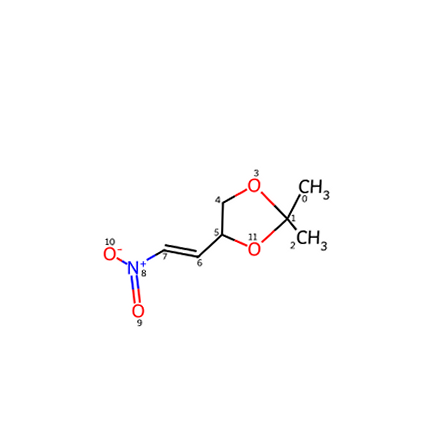 CC1(C)OCC(C=C[N+](=O)[O-])O1